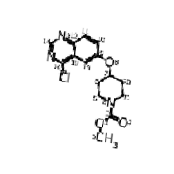 COC(=O)N1CCC(Oc2ccc3ncnc(Cl)c3c2)CC1